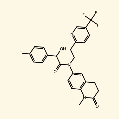 CN1C(=O)CCc2cc(N(CCc3ccc(C(F)(F)F)cn3)C(=O)C(O)c3ccc(F)cc3)ccc21